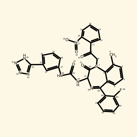 Cc1cccc2c1N(CC(=O)c1ccccc1[N+](=O)[O-])C(=O)C(NC(=O)Nc1cccc(-c3nnn[nH]3)c1)N=C2c1ccccc1F